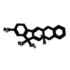 CC1(C)C2=C[C@@H]3Cc4ccccc4CC3C=C2C2=C1C=C(N)CC2